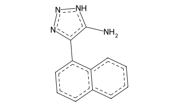 Nc1[nH]nnc1-c1cccc2ccccc12